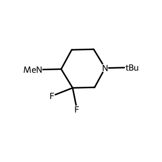 CNC1CCN(C(C)(C)C)CC1(F)F